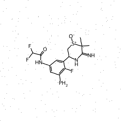 CC1(C)C(=N)NC(c2cc(NC(=O)C(F)F)cc(P)c2F)C[S+]1[O-]